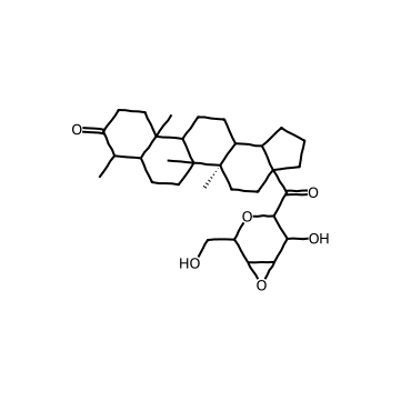 CC1C(=O)CCC2(C)C1CCC1(C)C2CCC2C3CCCC3(C(=O)C3OC(CO)C4OC4C3O)CC[C@]21C